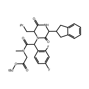 CC(C)CC1C(=O)NC(C2Cc3ccccc3C2)C(=O)N1C(C(=O)N(C)CC(=O)OC(C)(C)C)c1ccc(F)cc1F